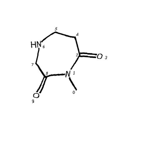 CN1C(=O)CCNCC1=O